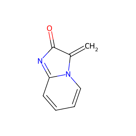 C=C1C(=O)N=C2C=CC=CN12